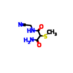 CSC(C(N)=O)C(=O)NCC#N